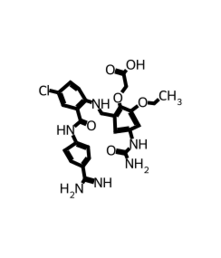 CCOc1cc(NC(N)=O)cc(CNc2ccc(Cl)cc2C(=O)Nc2ccc(C(=N)N)cc2)c1OCC(=O)O